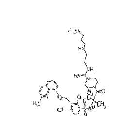 Cc1ccc2cccc(OCc3c(Cl)ccc(S(=O)(=O)NC(C)(C)C(=O)N4CCN(C(=N)NCCNCCCN)CC4)c3Cl)c2n1